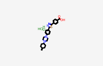 C=C1CCC(N2CCN(c3ccc(-c4nnc(-c5ccc(C(=O)O)cc5)s4)cc3)CC2)CC1.Cl.Cl